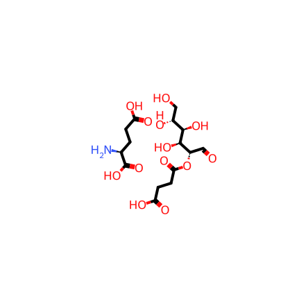 N[C@@H](CCC(=O)O)C(=O)O.O=C[C@H](OC(=O)CCC(=O)O)[C@@H](O)[C@H](O)[C@H](O)CO